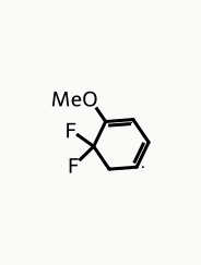 COC1=CC=[C]CC1(F)F